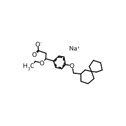 CCOC(CC(=O)[O-])c1ccc(OCC2CCCC3(CCCCC3)C2)cc1.[Na+]